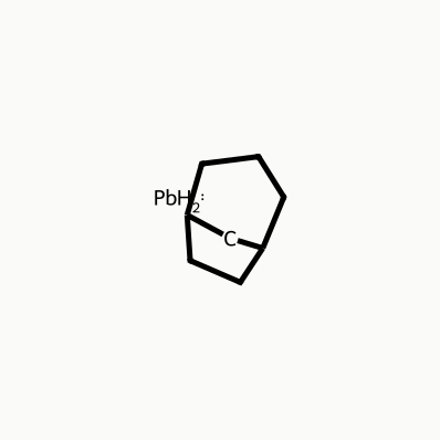 C1CC2CCC(C1)C2.[PbH2]